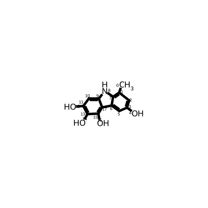 Cc1cc(O)cc2c1[nH]c1cc(O)c(O)c(O)c12